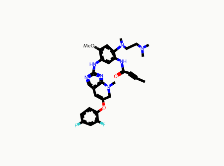 CC#CC(=O)Nc1cc(Nc2ncc3c(n2)N(C)CC(Oc2ccc(F)cc2F)=C3)c(OC)cc1N(C)CCN(C)C